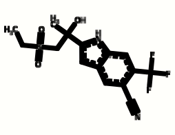 CCS(=O)(=O)CC(C)(O)c1cc2cc(C#N)c(C(F)(F)F)cc2[nH]1